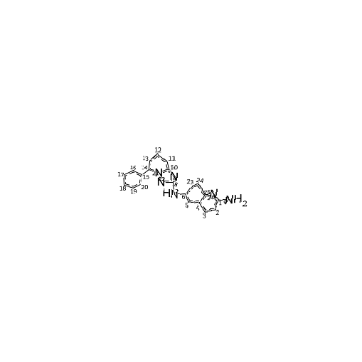 Nc1ccc2cc(Nc3nc4cccc(-c5ccccc5)n4n3)ccc2n1